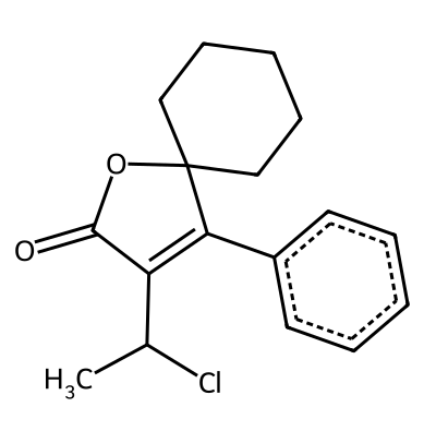 CC(Cl)C1=C(c2ccccc2)C2(CCCCC2)OC1=O